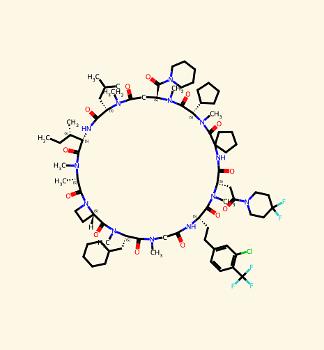 CC[C@H](C)[C@@H]1NC(=O)[C@H](CC(C)C)N(C)C(=O)C[C@@H](C(=O)N2CCCCC2)N(C)C(=O)[C@H](C2CCCC2)N(C)C(=O)C2(CCCC2)NC(=O)[C@H](CC(=O)N2CCC(F)(F)CC2)N(C)C(=O)[C@H](CCc2ccc(C(F)(F)F)c(Cl)c2)NC(=O)CN(C)C(=O)[C@H](CC2CCCCC2)N(C)C(=O)[C@@H]2CCN2C(=O)[C@H](C)N(C)C1=O